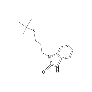 CC(C)(C)SCCCn1c(=O)[nH]c2ccccc21